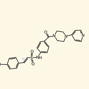 O=C(c1ccc(NS(=O)(=O)/C=C/c2ccc(Cl)cc2)cc1)N1CCN(c2ccncc2)CC1